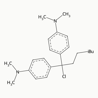 CCC(C)CCC(Cl)(c1ccc(N(C)C)cc1)c1ccc(N(C)C)cc1